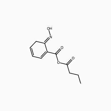 CCCC(=O)OC(=O)C1=CC=CCC1=NO